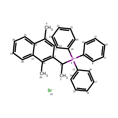 Cc1cc(C(C)[P+](c2ccccc2)(c2ccccc2)c2ccccc2)c(C)c2ccccc12.[Br-]